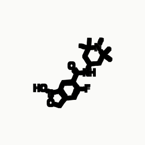 CN1C(C)(C)CC(NC(=O)c2cc3c(cc2F)COB3O)CC1(C)C